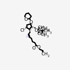 C=CCOC(=O)CCC/C=C\C[C@@H]1[C@@H](CO[Si](C)(C)C(C)(C)C)[C@H](OC2CCCCO2)C[C@H]1Cl